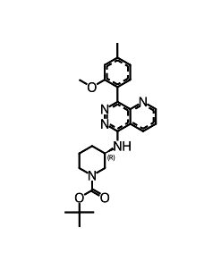 COc1cc(C)ccc1-c1nnc(N[C@@H]2CCCN(C(=O)OC(C)(C)C)C2)c2cccnc12